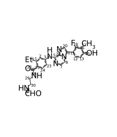 CCc1cc(Nc2nccn3c(-c4ccc(O)c(C)c4F)cnc23)ccc1C(=O)NCCNC=O